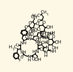 CC(C)CC(=O)OC1C(OC2C(CO)OC(Oc3ccc(CC4NC(=O)C(C(C)c5cccc(F)c5)NC(=O)CNC(=O)C(CO)NC(=O)C(C(O)C5CNC(=N)N5C5OC(CO)C(O)C(O)C5O)NC(=O)C(C(O)C5CNC(=N)N5)NC4=O)cc3)C(O)C2O)OC(CO)C(O)C1O